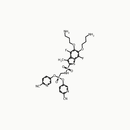 Cc1c(S(=O)(=O)NCP(=O)(Oc2ccc(C#N)nc2)Oc2ccc(C#N)nc2)sc2c(F)c(OCCCN)c(OCCCN)c(F)c12